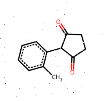 Cc1ccccc1C1C(=O)CCC1=O